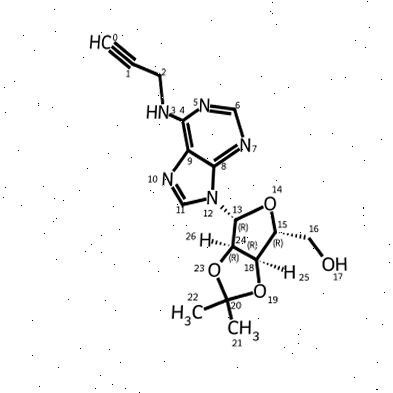 C#CCNc1ncnc2c1ncn2[C@@H]1O[C@H](CO)[C@H]2OC(C)(C)O[C@H]21